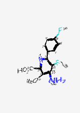 COc1c(C(=O)O)nc(-c2ccc(F)cc2)c(F)c1N